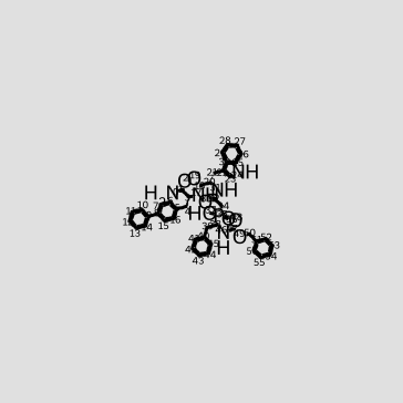 NC(=O)[C@H](Cc1ccc(-c2ccccc2)cc1)NC(=O)[C@H](Cc1c[nH]c2ccccc12)NC(=O)CP(=O)(O)C(Cc1ccccc1)NC(=O)OCc1ccccc1